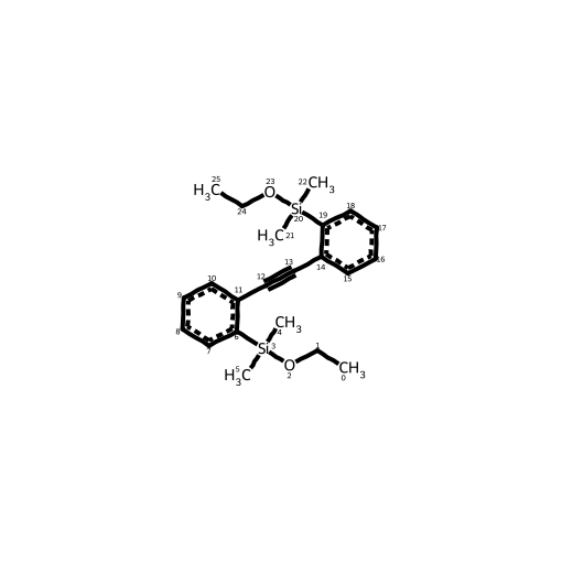 CCO[Si](C)(C)c1ccccc1C#Cc1ccccc1[Si](C)(C)OCC